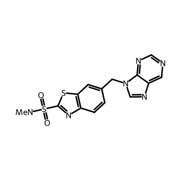 CNS(=O)(=O)c1nc2ccc(Cn3cnc4cncnc43)cc2s1